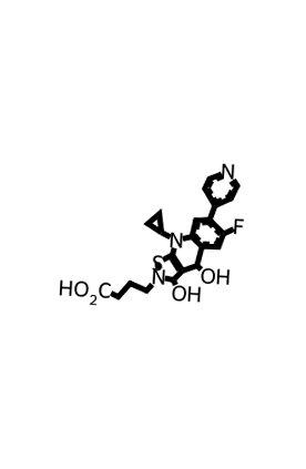 O=C(O)CCCN1SC2=C(C(O)c3cc(F)c(-c4ccncc4)cc3N2C2CC2)C1O